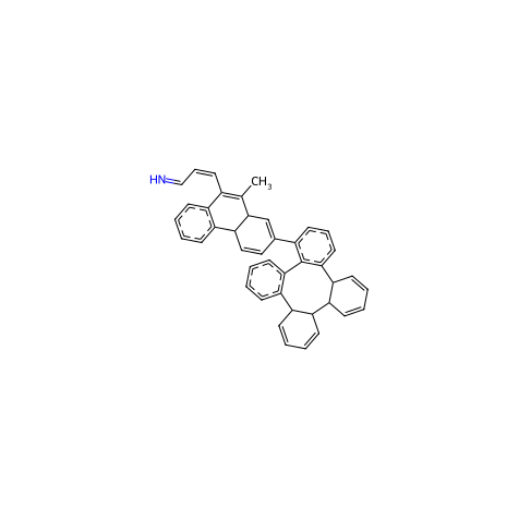 CC1=C(/C=C\C=N)c2ccccc2C2C=CC(c3cccc4c3-c3ccccc3C3C=CC=CC3C3C=CC=CC43)=CC12